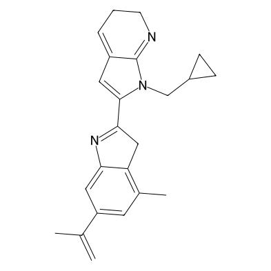 C=C(C)c1cc(C)c2c(c1)N=C(c1cc3c(n1CC1CC1)=NCCC=3)C2